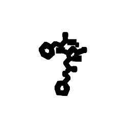 NC(=O)C(Cc1ccccc1)NC1=CC(=O)NC1CC(=O)OCc1ccccc1